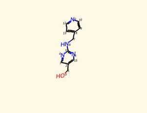 OCc1cnc(NCc2ccncc2)nc1